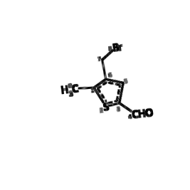 Cc1sc(C=O)cc1CBr